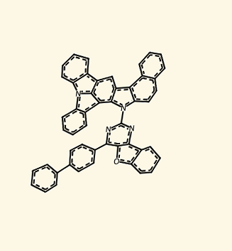 c1ccc(-c2ccc(-c3nc(-n4c5ccc6ccccc6c5c5cc6c7ccccc7n7c8ccccc8c(c54)c67)nc4c3oc3ccccc34)cc2)cc1